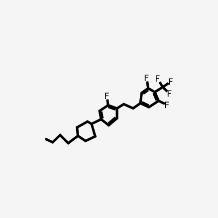 CCCCC1CCC(c2ccc(CCc3cc(F)c(C(F)(F)F)c(F)c3)c(F)c2)CC1